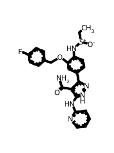 CC[S+]([O-])Nc1ccc(-c2n[nH]c(Nc3ccccn3)c2C(N)=O)cc1OCc1ccc(F)cc1